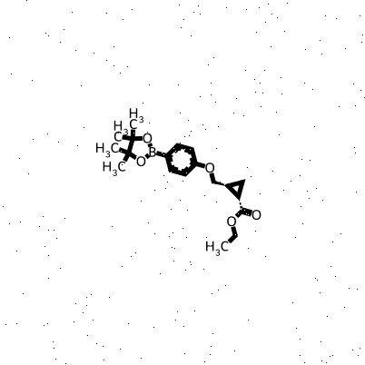 CCOC(=O)[C@H]1C[C@@H]1COc1ccc(B2OC(C)(C)C(C)(C)O2)cc1